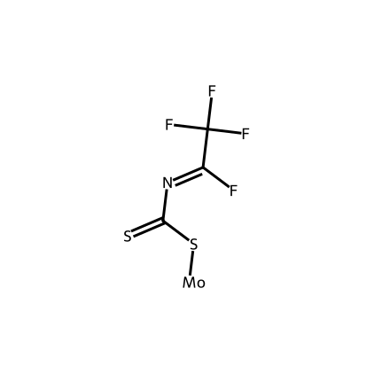 FC(=NC(=S)[S][Mo])C(F)(F)F